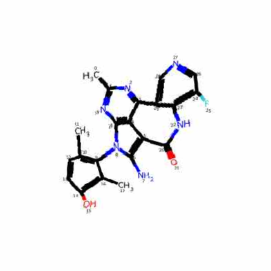 Cc1nc2c3c(c(N)n(-c4c(C)ccc(O)c4C)c3n1)C(=O)Nc1c(F)cncc1-2